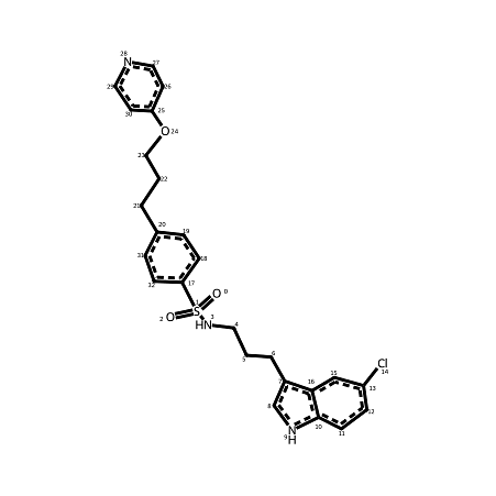 O=S(=O)(NCCCc1c[nH]c2ccc(Cl)cc12)c1ccc(CCCOc2ccncc2)cc1